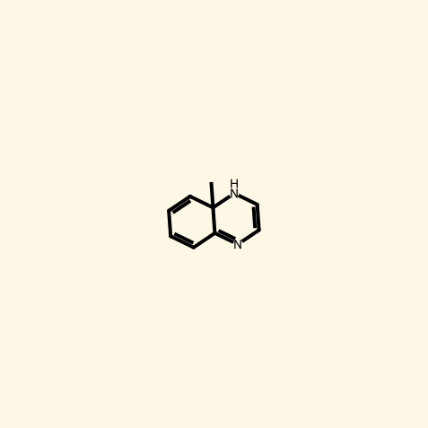 CC12C=CC=CC1=NC=CN2